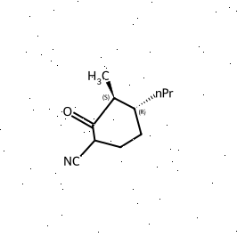 CCC[C@@H]1CCC(C#N)C(=O)[C@H]1C